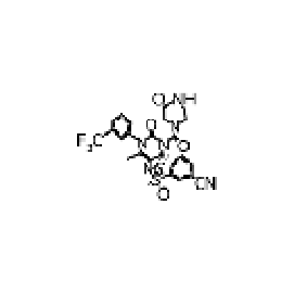 [C-]#[N+]C1=C(C)N(c2cccc(C(F)(F)F)c2)C(=O)N(C(=O)N2CCNC(=O)C2)[C@@H]1c1ccc(C#N)cc1S(C)(=O)=O